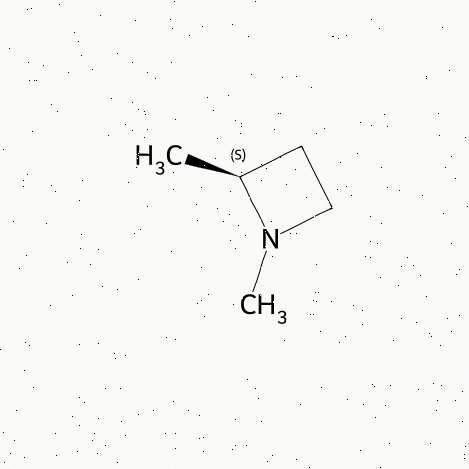 C[C@H]1CCN1C